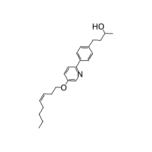 CCCC/C=C\CCOc1ccc(-c2ccc(CCC(C)O)cc2)nc1